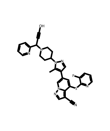 Cc1c(-c2cc(Sc3ncccc3F)c3c(C#N)cnn3c2)cnn1C1CCN(C(C#CO)c2ccccn2)CC1